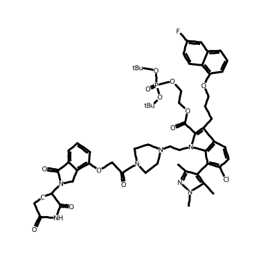 Cc1nn(C)c(C)c1-c1c(Cl)ccc2c(CCCOc3cccc4cc(F)ccc34)c(C(=O)OCCOP(=O)(OC(C)(C)C)OC(C)(C)C)n(CCN3CCN(C(=O)COc4cccc5c4CN(C4CCC(=O)NC4=O)C5=O)CC3)c12